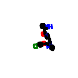 O=C(CCc1c[nH]c2ccccc12)N1CCC(CCCn2c(CCOc3ccc(Cl)cc3)nc3ccccc32)CC1